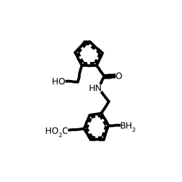 Bc1ccc(C(=O)O)cc1CNC(=O)c1ccccc1CO